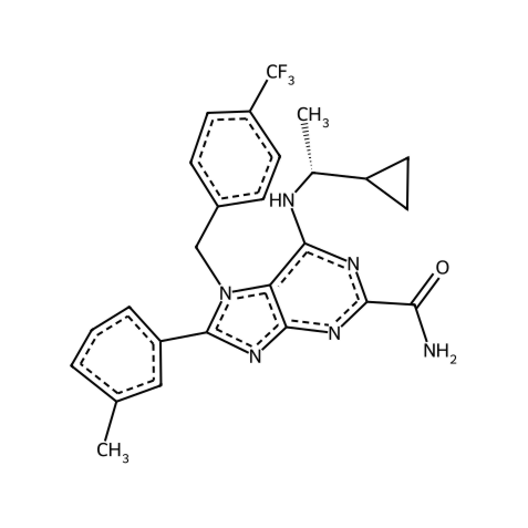 Cc1cccc(-c2nc3nc(C(N)=O)nc(N[C@H](C)C4CC4)c3n2Cc2ccc(C(F)(F)F)cc2)c1